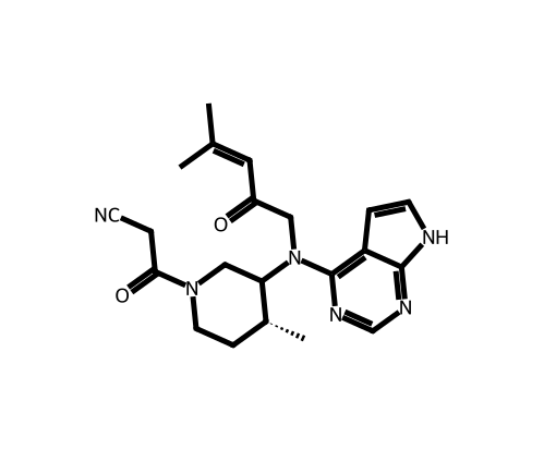 CC(C)=CC(=O)CN(c1ncnc2[nH]ccc12)C1CN(C(=O)CC#N)CC[C@H]1C